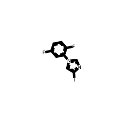 Fc1ccc(F)c(-n2cnc(I)c2)c1